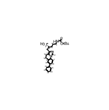 CC(C)(C)OC(=O)NCCCC(Cc1ncn2c1CCc1cc(-c3ccccc3)ccc1-2)C(=O)O